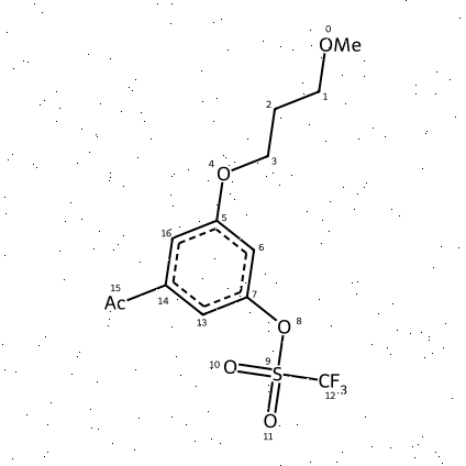 COCCCOc1cc(OS(=O)(=O)C(F)(F)F)cc(C(C)=O)c1